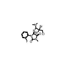 CN1C(=O)C(=NC(N(C)C)C(Br)(Br)CCl)N(c2ccccc2F)C1=O